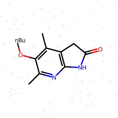 CCCCOc1c(C)nc2c(c1C)CC(=O)N2